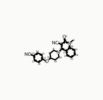 Cn1c(=O)c(C#N)c(N2CCC(Oc3ccc(C#N)cc3)CC2)c2ccccc21